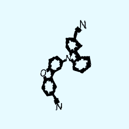 N#Cc1ccc2oc3ccc(-n4c5ccccc5c5cc(C#N)ccc54)cc3c2c1